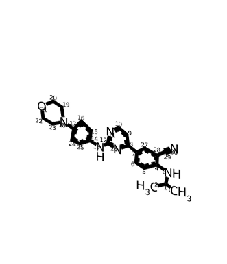 CC(C)Nc1ccc(-c2ccnc(Nc3ccc(N4CCOCC4)cc3)n2)cc1C#N